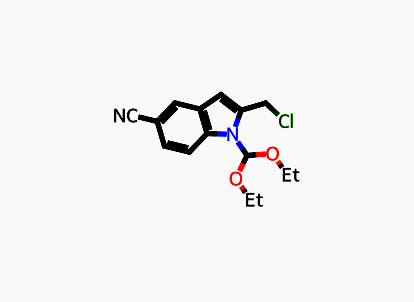 CCOC(OCC)n1c(CCl)cc2cc(C#N)ccc21